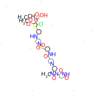 Cn1c(=O)n(C2CCC(=O)NC2=O)c2ccc(N3CCC(C(=O)Nc4cccc(CS(=O)(=O)N5CCC(Nc6cccc(-c7sc(C(=O)OC(C)(C)C)c(OCC(=O)O)c7Cl)c6)CC5)c4)CC3)cc21